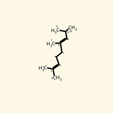 CC(C)=CCC/C(C)=C/C(C)C